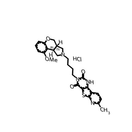 COc1cccc2c1[C@@H]1CN(CCCCn3c(=O)[nH]c4c(sc5nc(C)ccc54)c3=O)C[C@H]1CO2.Cl